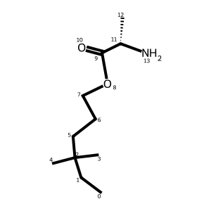 CCC(C)(C)CCCOC(=O)[C@H](C)N